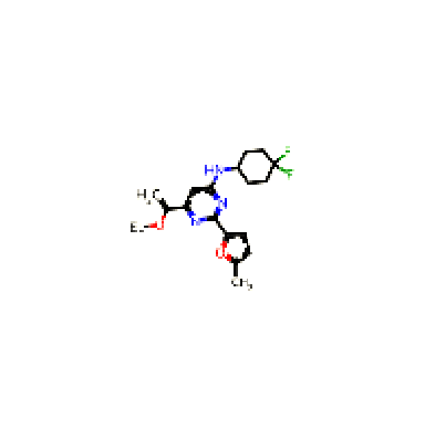 C=C(OCC)c1cc(NC2CCC(F)(F)CC2)nc(-c2ccc(C)o2)n1